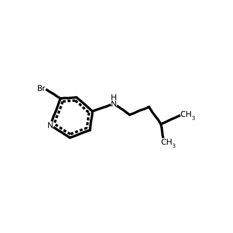 CC(C)CCNc1ccnc(Br)c1